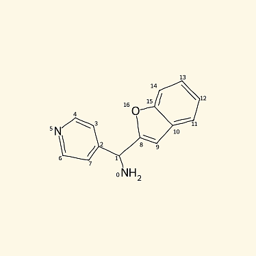 NC(c1ccncc1)c1cc2ccccc2o1